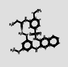 COc1cc(Nc2nc3ccccc3nc2NS(=O)(=O)c2ccc(CN)c(NC(=O)CN)c2)cc(OC)c1